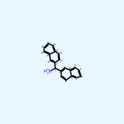 NC(c1ccc2ccccc2c1)c1ccc2ccccc2c1